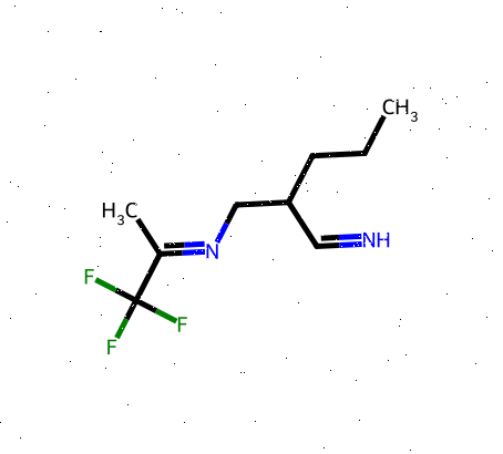 CCCC(C=N)C/N=C(\C)C(F)(F)F